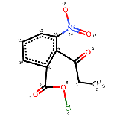 CCC(=O)c1c(C(=O)OCl)cccc1[N+](=O)[O-]